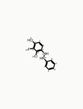 Oc1ccc(NNc2ccccc2)c(Cl)c1F